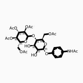 CC(=O)Nc1ccc(O[C@H]2O[C@H](COC(C)=O)[C@@H](OC3O[C@H](COC(C)=O)[C@@H](OC(C)=O)[C@H](OC(C)=O)[C@H]3OC(C)=O)[C@H](O)[C@@H]2O)cc1